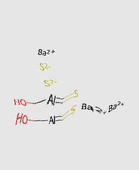 [Ba+2].[Ba+2].[Ba+2].[OH][Al]=[S].[OH][Al]=[S].[S-2].[S-2]